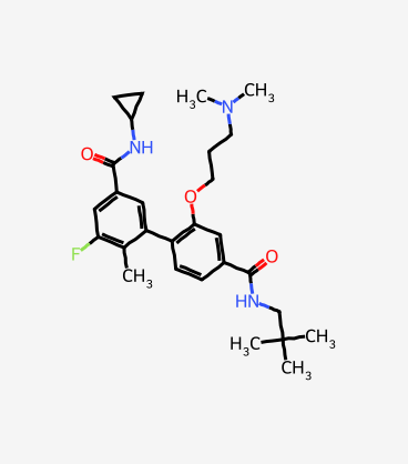 Cc1c(F)cc(C(=O)NC2CC2)cc1-c1ccc(C(=O)NCC(C)(C)C)cc1OCCCN(C)C